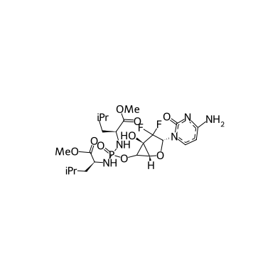 COC(=O)[C@H](CC(C)C)NP(=O)(N[C@@H](CC(C)C)C(=O)OC)OC1[C@H]2O[C@@H](n3ccc(N)nc3=O)C(F)(F)[C@@]12O